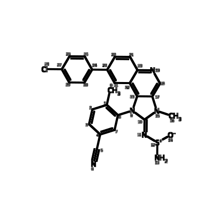 Cc1ccc(C#N)cc1-n1/c(=N/[S+](N)[O-])n(C)c2cnc3ccc(-c4ccc(Cl)cc4)cc3c21